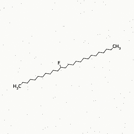 CCCCCCCCCCCCCCC(F)CCCCCCCCCCC